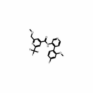 COCc1cc(C(=O)Nc2cnccc2-c2ccc(F)cc2OC)cc(C(F)(F)F)n1